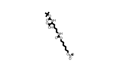 CC(C)(C)OC(=O)NC(CCCCNC(=O)OCCCCCCO[N+](=O)[O-])C(=O)O